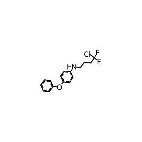 FC(F)(Cl)CCCNc1ccc(Oc2ccccc2)cc1